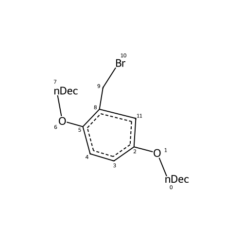 CCCCCCCCCCOc1ccc(OCCCCCCCCCC)c(CBr)c1